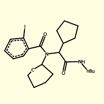 CCCCNC(=O)C(C1CCCC1)N(C(=O)c1ccccc1I)C1CCCCC1